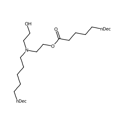 CCCCCCCCCCCCCCCN(CCO)CCOC(=O)CCCCCCCCCCCCCC